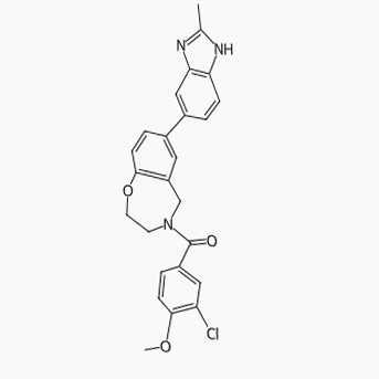 COc1ccc(C(=O)N2CCOc3ccc(-c4ccc5[nH]c(C)nc5c4)cc3C2)cc1Cl